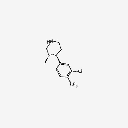 C[C@H]1CNCC[C@H]1c1ccc(C(F)(F)F)c(Cl)c1